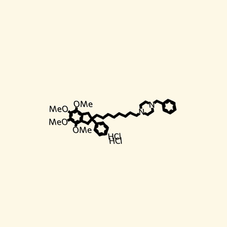 COc1c2c(c(OC)c(OC)c1OC)CC(CCCCCCCCN1CCN(Cc3ccccc3)CC1)(c1ccccc1)C2.Cl.Cl